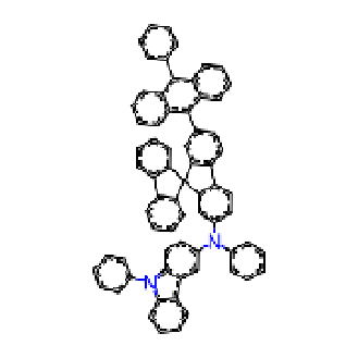 c1ccc(-c2c3ccccc3c(-c3ccc4c(c3)C3(c5ccccc5-c5ccccc53)c3cc(N(c5ccccc5)c5ccc6c(c5)c5ccccc5n6-c5ccccc5)ccc3-4)c3ccccc23)cc1